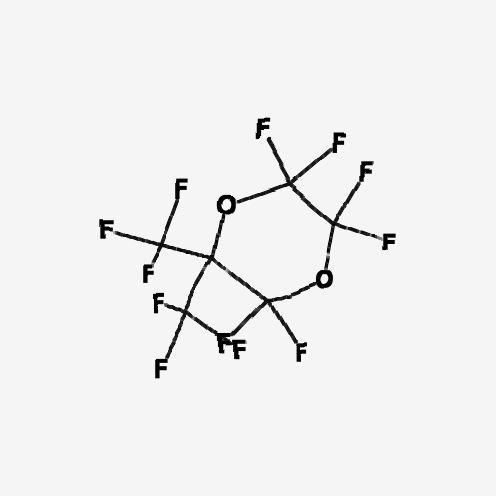 FC(F)(F)C1(C(F)(F)F)OC(F)(F)C(F)(F)OC1(F)F